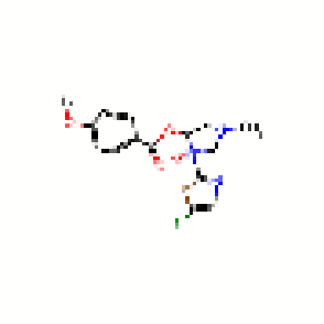 CCOc1ccc(C(=O)OC2CN(C)C[N+]2([O-])c2ncc(Br)s2)cc1